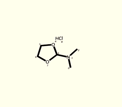 CN(C)C1OCCO1.Cl